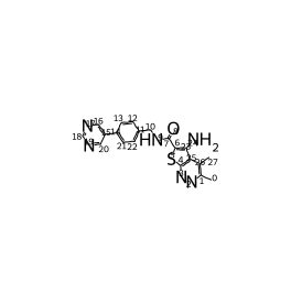 Cc1nnc2sc(C(=O)NCc3ccc(-c4cncnc4)cc3)c(N)c2c1C